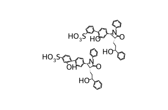 O=C1[C@H](CC[C@H](O)c2ccccc2)[C@@H](c2ccc(-c3ccc(S(=O)(=O)O)cc3O)cc2)N1c1ccccc1.O=C1[C@H](CC[C@H](O)c2ccccc2)[C@@H](c2ccc(-c3cccc(S(=O)(=O)O)c3)c(O)c2)N1c1ccccc1